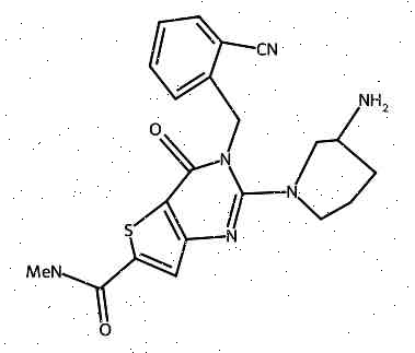 CNC(=O)c1cc2nc(N3CCCC(N)C3)n(Cc3ccccc3C#N)c(=O)c2s1